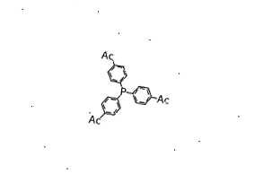 CC(=O)c1ccc(P(c2ccc(C(C)=O)cc2)c2ccc(C(C)=O)cc2)cc1